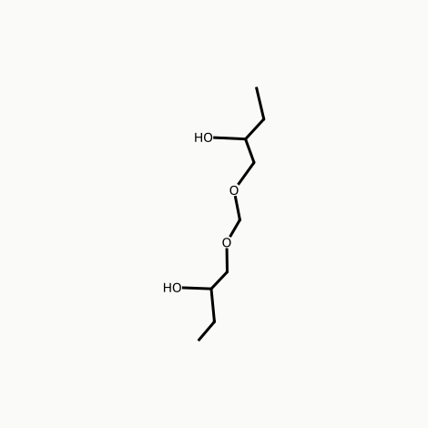 CCC(O)COCOCC(O)CC